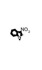 Cn1[c]c([N+](=O)[O-])c2ccccc21